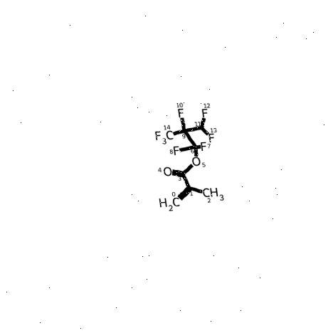 C=C(C)C(=O)OC(F)(F)C(F)(C(F)F)C(F)(F)F